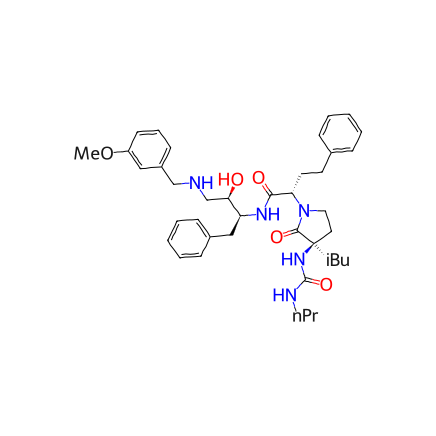 CCCNC(=O)N[C@]1([C@@H](C)CC)CCN([C@@H](CCc2ccccc2)C(=O)N[C@@H](Cc2ccccc2)[C@H](O)CNCc2cccc(OC)c2)C1=O